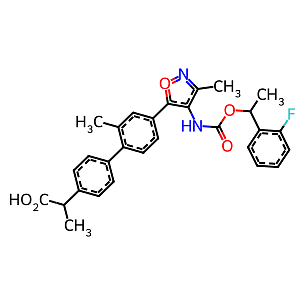 Cc1cc(-c2onc(C)c2NC(=O)OC(C)c2ccccc2F)ccc1-c1ccc(C(C)C(=O)O)cc1